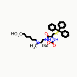 CN(CCCCCC(=O)O)CCNC(=O)C(CSC(c1ccccc1)(c1ccccc1)c1ccccc1)NC(=O)OC(C)(C)C